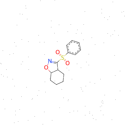 O=S(=O)(C1=NOC2CCCCC12)c1ccccc1